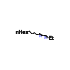 CC/C=C/C=C/CCCCCCCCCC